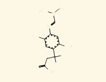 C=C(C)CC(O)(c1cc(C)c(N=CN(C)C(C)C)cc1OC)C(F)(F)F